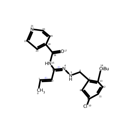 C/C=C/C(=N\NCc1cc(Cl)ccc1OCC(C)C)NC(=O)c1ccncc1